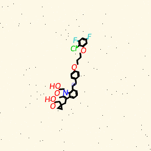 Cc1c(CC2(CC(=O)O)CC2)c2cccc(/C=C/c3ccc(OCCCCOc4cc(F)cc(F)c4Cl)cc3)c2n1CC(=O)O